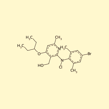 CCC(CC)Oc1cc(C)nc(N(Cl)c2c(C)cc(Br)cc2C)c1CO